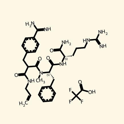 C=CCNC(=O)C(Cc1ccc(C(=N)N)cc1)C(=O)N(C)[C@@H](Cc1ccccc1)C(=O)N[C@@H](CCCNC(=N)N)C(N)=O.O=C(O)C(F)(F)F